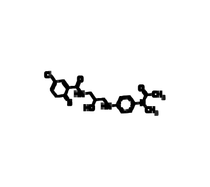 CC(=O)N(C)c1ccc(NCC(O)CNC(=O)C2=CC(Cl)=CCC2=S)cc1